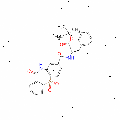 CC(C)(C)OC(=O)[C@@H](Cc1ccccc1)NC(=O)c1ccc2c(c1)NC(=O)c1ccccc1S2(=O)=O